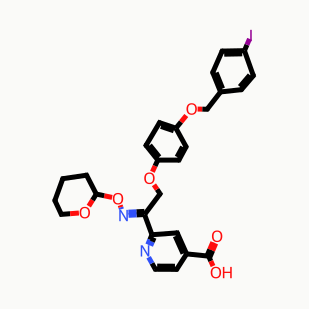 O=C(O)c1ccnc(/C(COc2ccc(OCc3ccc(I)cc3)cc2)=N/OC2CCCCO2)c1